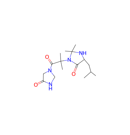 CC(C)CC1NC(C)(C)N(C(C)(C)C(=O)N2CNC(=O)C2)C1=O